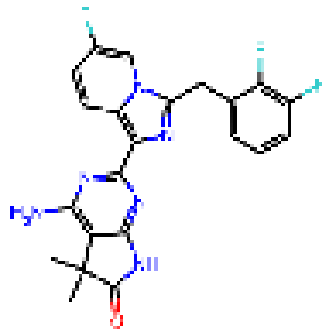 CC1(C)C(=O)Nc2nc(-c3nc(Cc4cccc(F)c4F)n4cc(F)ccc34)nc(N)c21